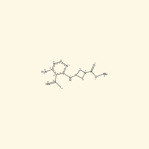 CC(C)(C)OC(=O)N1CC(Nc2ncnc(N)c2C(=N)I)C1